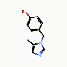 Cc1cncn1Cc1ccc(Br)cc1